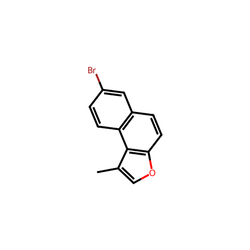 Cc1coc2ccc3cc(Br)ccc3c12